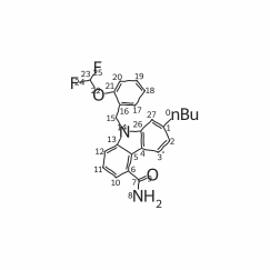 CCCCc1c[c]c2c3c(C(N)=O)cccc3n(Cc3ccccc3OC(F)F)c2c1